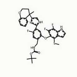 CSc1c(Oc2cc(-c3nc(C4(C)CCOc5ccccc54)c[nH]3)c(F)cc2CNC(=O)OC(C)(C)C)c(F)c(F)c2[nH]ccc12